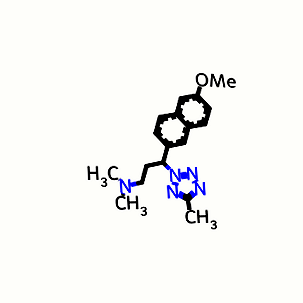 COc1ccc2cc(C(CCN(C)C)n3nnc(C)n3)ccc2c1